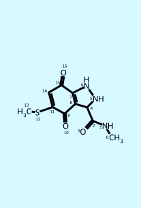 CNC(=O)C1NNC2=C1C(=O)C(SC)=CC2=O